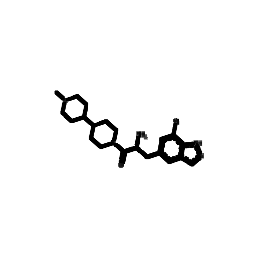 CN1CCC(C2CCN(C(=O)C(N)Cc3cc(Cl)c4[nH]ncc4c3)CC2)CC1